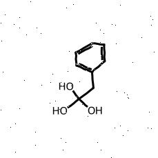 OC(O)(O)Cc1ccccc1